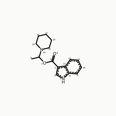 CC(OC(=O)c1c[nH]c2ccccc12)N1CCCCC1